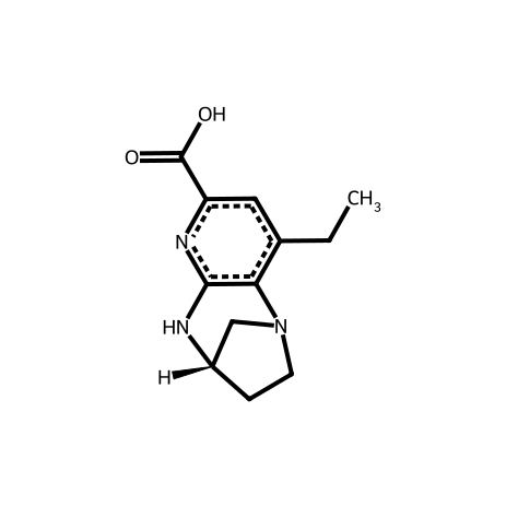 CCc1cc(C(=O)O)nc2c1N1CC[C@@H](C1)N2